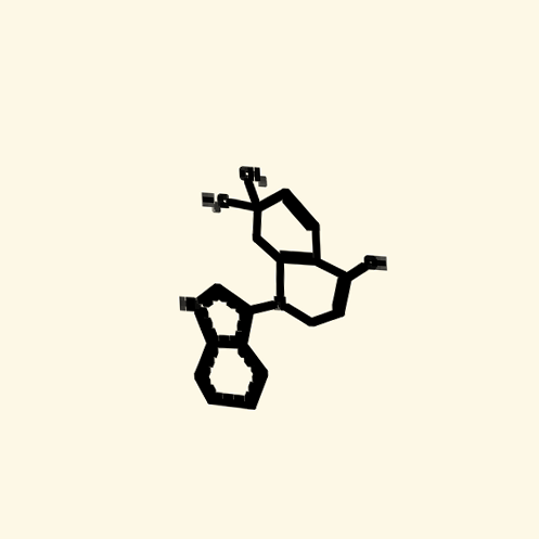 CC1(C)C=CC2=C(C1)N(c1c[nH]c3ccccc13)CC=C2O